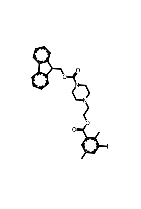 O=C(OCCN1CCN(C(=O)OCC2c3ccccc3-c3ccccc32)CC1)c1cc(I)cc(I)c1I